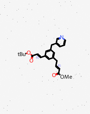 COC(=O)/C=C/Cc1cc(/C=C/C(=O)OC(C)(C)C)cc(Cc2cccnc2)c1